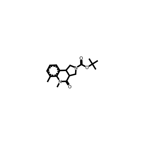 Cc1cccc2c1N(C)C(=O)C1CN(C(=O)OC(C)(C)C)CC21